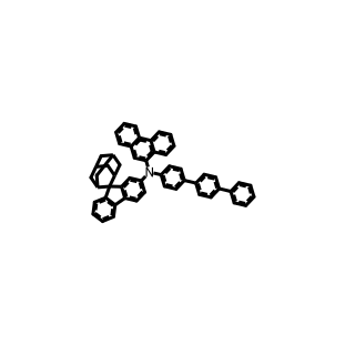 c1ccc(-c2ccc(-c3ccc(N(c4ccc5c(c4)C4(c6ccccc6-5)C5CC6CC(C5)CC4C6)c4cc5ccccc5c5ccccc45)cc3)cc2)cc1